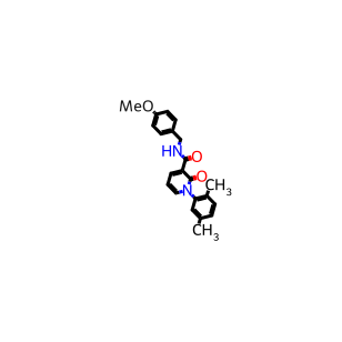 COc1ccc(CNC(=O)c2cccn(-c3cc(C)ccc3C)c2=O)cc1